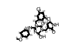 COc1ccc(NC2=NC(O)N(CC3=CCNC3=O)C(=O)N2Cc2cc(Cl)cc(Cl)c2)cc1